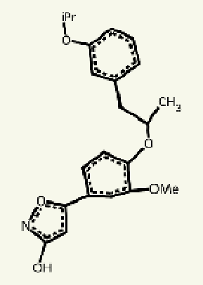 COc1cc(-c2cc(O)no2)ccc1OC(C)Cc1cccc(OC(C)C)c1